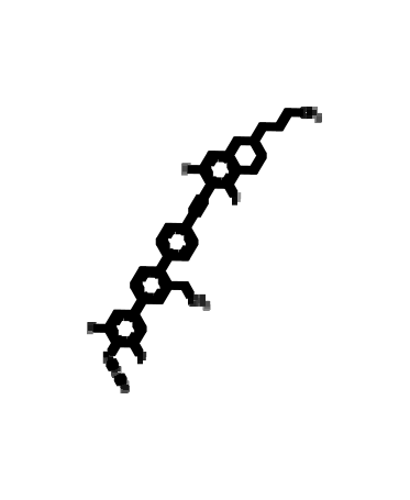 CCCCC1CCc2c(cc(F)c(C#Cc3ccc(-c4ccc(-c5cc(F)c(N=C=S)c(F)c5)cc4CC)cc3)c2F)C1